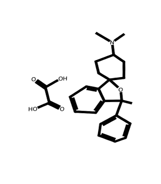 CN(C)C1CCC2(CC1)OC(C)(c1ccccc1)c1ccccc12.O=C(O)C(=O)O